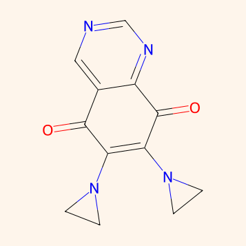 O=C1C(N2CC2)=C(N2CC2)C(=O)c2ncncc21